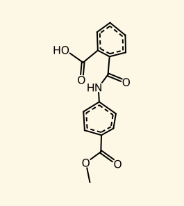 COC(=O)c1ccc(NC(=O)c2ccccc2C(=O)O)cc1